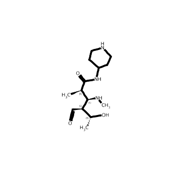 CN[C@@H]([C@H](C=O)[C@@H](C)O)[C@@H](C)C(=O)NC1CCNCC1